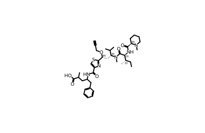 C#CCO[C@H](C[C@H](C(C)C)N(C)C(=O)[C@@H](NC(=O)[C@H]1CCCCN1C)[C@@H](C)CC)c1nc(C(=O)NC(Cc2ccccc2)CC(C)C(=O)O)cs1